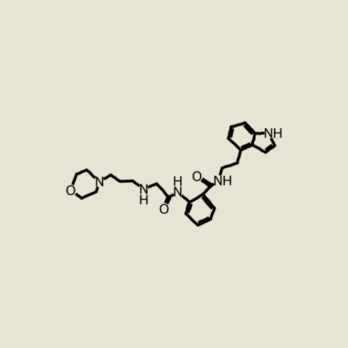 O=C(CNCCCN1CCOCC1)Nc1ccccc1C(=O)NCCc1cccc2[nH]ccc12